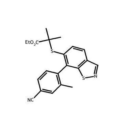 CCOC(=O)C(C)(C)Sc1ccc2cnsc2c1-c1ccc(C#N)cc1C